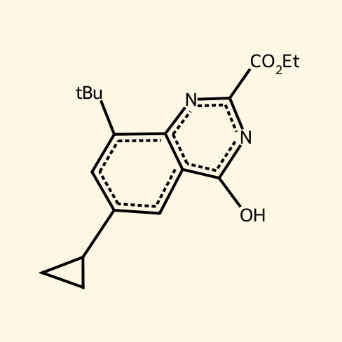 CCOC(=O)c1nc(O)c2cc(C3CC3)cc(C(C)(C)C)c2n1